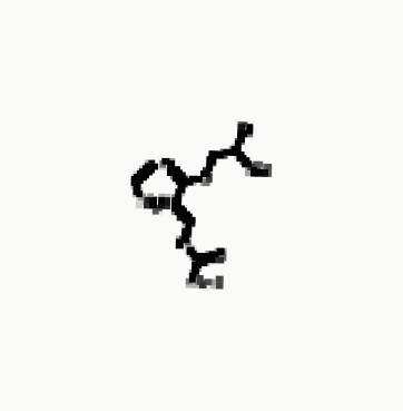 C=CC(=O)O.CCCCCC(=O)OC=CC(=O)OCC(CC)CCCC